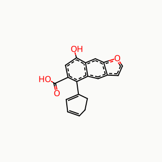 O=C(O)c1cc(O)c2cc3occc3cc2c1C1=CC=CCC1